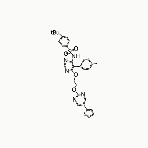 Cc1ccc(-c2c(NS(=O)(=O)c3ccc(C(C)(C)C)cc3)ncnc2OCCOc2ncc(-c3cccs3)cn2)cc1